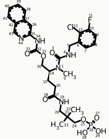 CN(C(=O)NCc1cccc(F)c1Cl)[C@@H](CCC(=O)NCC(C)(C)COP(=O)(O)O)COC(=O)Nc1cc2ccccc2cn1